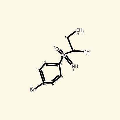 CCC(O)S(=N)(=O)c1ccc(Br)cc1